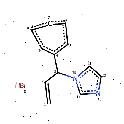 Br.C=CC(c1ccccc1)n1ccnc1